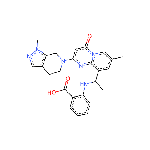 Cc1cc(C(C)Nc2ccccc2C(=O)O)c2nc(N3CCc4cnn(C)c4C3)cc(=O)n2c1